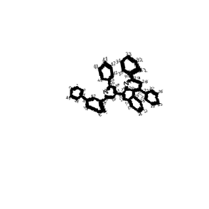 c1ccc(-c2cccc(-c3cc(-c4cc5ccccc5c5c(-c6ccccc6)cc(-c6ccccc6)nc45)cc(-c4ccccc4)n3)c2)cc1